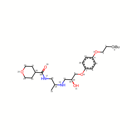 CC(C)COCCOc1ccc(OC[C@@H](O)CNC(C)CNC(=O)C2CCOCC2)cc1